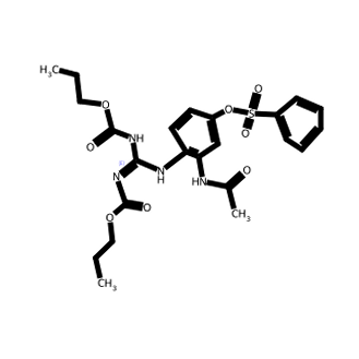 CCCOC(=O)/N=C(/NC(=O)OCCC)Nc1ccc(OS(=O)(=O)c2ccccc2)cc1NC(C)=O